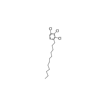 CCCCCCCCCCCCc1ccc(Cl)c(Cl)c1Cl